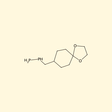 PPCC1CCC2(CC1)OCCO2